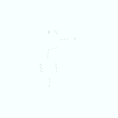 CC(N)C1Cc2ccc(F)cc2O1